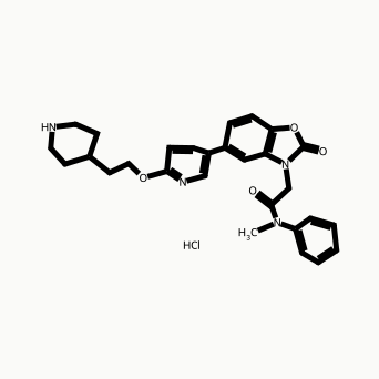 CN(C(=O)Cn1c(=O)oc2ccc(-c3ccc(OCCC4CCNCC4)nc3)cc21)c1ccccc1.Cl